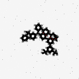 CC(C)(C)c1cc(-c2ccc(N(c3ccc4c(c3)C(C)(C)c3ccccc3-4)c3ccccc3-c3ccc(C4CCCCC4)cc3)cc2)cc(-c2cc(C(C)(C)C)cc(C(C)(C)C)c2)c1